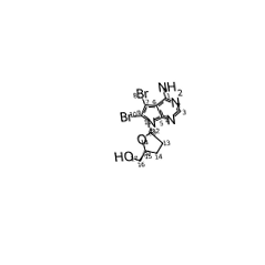 Nc1ncnc2c1c(Br)c(Br)n2[C@H]1CC[C@@H](CO)O1